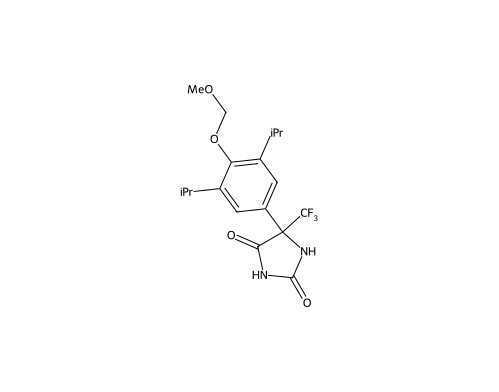 COCOc1c(C(C)C)cc(C2(C(F)(F)F)NC(=O)NC2=O)cc1C(C)C